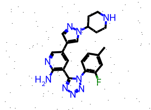 Cc1ccc(-n2nnnc2-c2cc(-c3cnn(C4CCNCC4)c3)cnc2N)c(F)c1